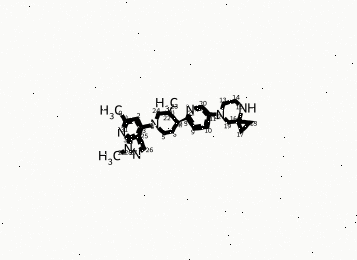 Cc1cc(N2CC[C@H](c3ccc(N4CCNC5(CC5)C4)cn3)[C@@H](C)C2)c2cnn(C)c2n1